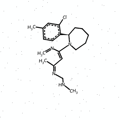 C=N/C(=C\C(C)=N/CNC)N1CCCCC[C@@H]1c1ccc(C)cc1Cl